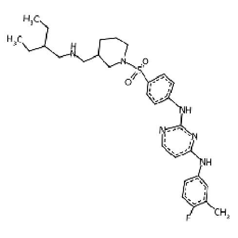 CCC(CC)CNCC1CCCN(S(=O)(=O)c2ccc(Nc3nccc(Nc4ccc(F)c(C)c4)n3)cc2)C1